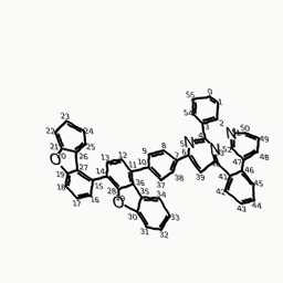 c1ccc(-c2nc(-c3ccc(-c4ccc(-c5cccc6oc7ccccc7c56)c5oc6ccccc6c45)cc3)cc(-c3ccccc3-c3cccnc3)n2)cc1